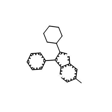 Clc1cnc2c(-c3ccccc3)c(C3CCCCC3)oc2c1